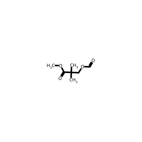 COC(=O)C(C)(C)CO[C]=O